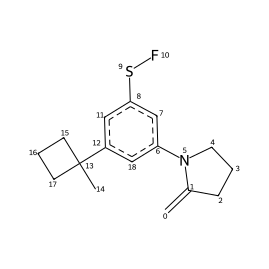 C=C1CCCN1c1cc(SF)cc(C2(C)CCC2)c1